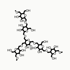 COCC1OC(CO)C(COCC2OC(CO)C(COCC3OC(COCC4OC(CO)C(COCC5OC(CO)C(COC)C(O)C5O)C(O)C4O)C(COCC4OC(CO)C(COC)C(O)C4O)C(O)C3O)C(O)C2O)C(O)C1O